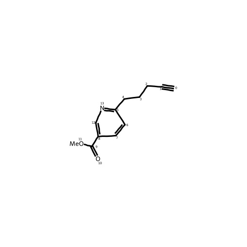 C#CCCCc1ccc(C(=O)OC)cn1